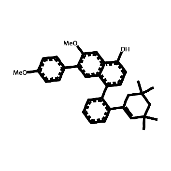 COc1ccc(-c2cc3c(-c4ccccc4C4=CC(C)(C)CC(C)(C)C4)ccc(O)c3cc2OC)cc1